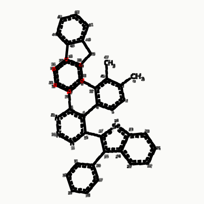 Cc1ccc(-c2c(-c3ccccc3)nnnc2-c2[se]c3ccccc3c2-c2ccccc2)c(-c2cccc3c2Cc2ccccc2-3)c1C